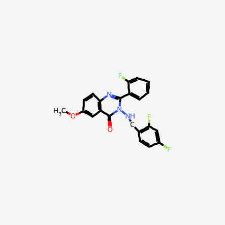 COc1ccc2nc(-c3ccccc3F)n(NCc3ccc(F)cc3F)c(=O)c2c1